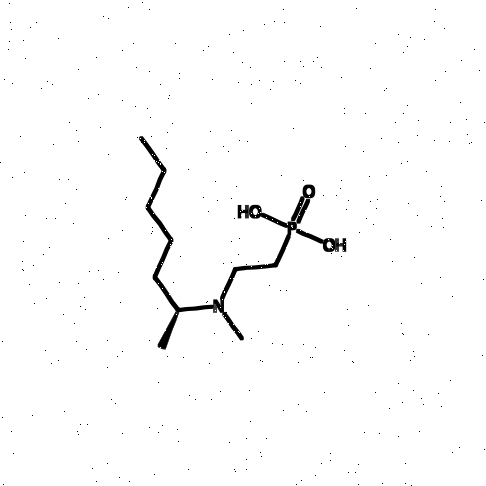 CCCCC[C@H](C)N(C)CCP(=O)(O)O